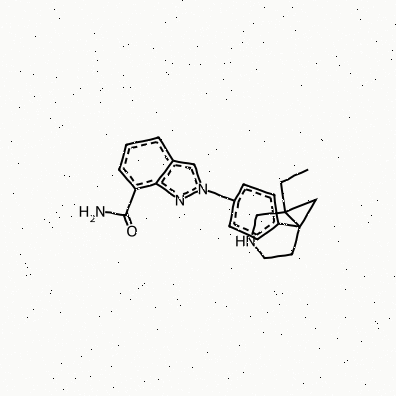 CCC12CNCCC1(c1ccc(-n3cc4cccc(C(N)=O)c4n3)cc1)C2